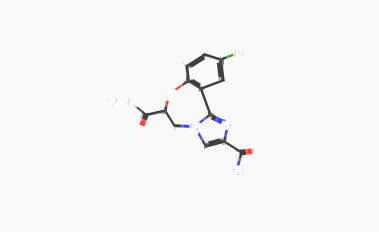 CNC(=O)C1Cn2cc(C(N)=O)nc2-c2cc(Br)ccc2O1